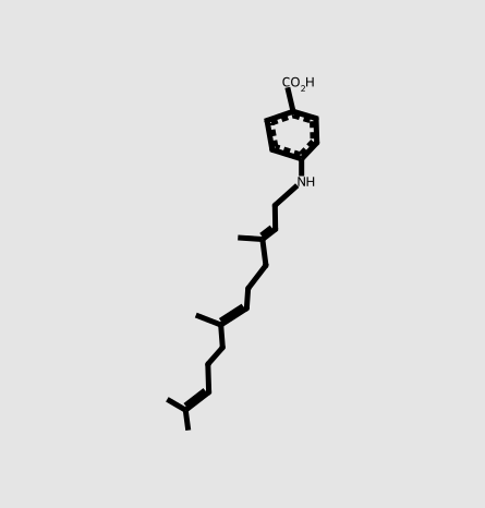 CC(C)=CCC/C(C)=C/CC/C(C)=C/CNc1ccc(C(=O)O)cc1